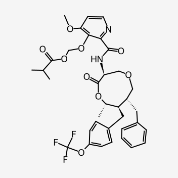 COc1ccnc(C(=O)N[C@H]2COC[C@H](Cc3ccccc3)[C@@H](Cc3ccc(OC(F)(F)F)cc3)[C@H](C)OC2=O)c1OCOC(=O)C(C)C